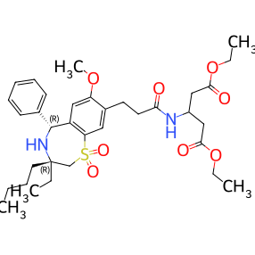 CCCC[C@]1(CC)CS(=O)(=O)c2cc(CCC(=O)NC(CC(=O)OCC)CC(=O)OCC)c(OC)cc2[C@@H](c2ccccc2)N1